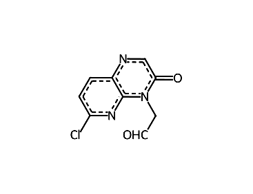 O=CCn1c(=O)cnc2ccc(Cl)nc21